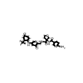 Nc1ccc(C(=O)NC2(C(=O)NCc3ncc(Nc4ccc(Cl)cc4C(F)(F)F)cc3Cl)CCOC2)cn1